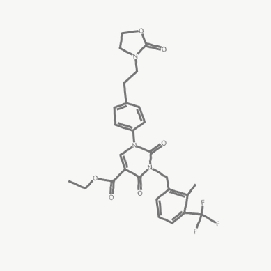 CCOC(=O)c1cn(-c2ccc(CCN3CCOC3=O)cc2)c(=O)n(Cc2cccc(C(F)(F)F)c2C)c1=O